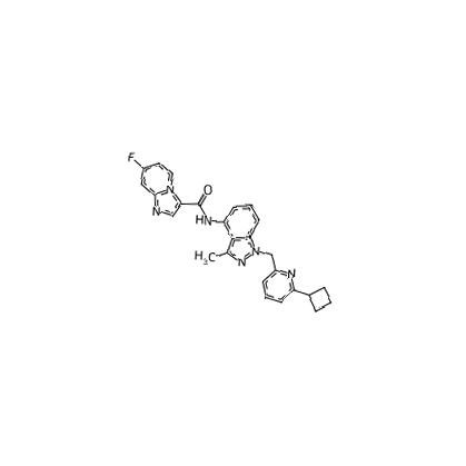 Cc1nn(Cc2cccc(C3CCC3)n2)c2cccc(NC(=O)c3cnc4cc(F)ccn34)c12